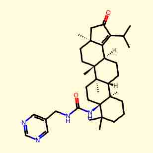 CC(C)C1=C2[C@H]3CC[C@H]4[C@@](C)(CC[C@@]5(NC(=O)NCc6cncnc6)C(C)(C)CCC[C@]45C)[C@]3(C)CC[C@@]2(C)CC1=O